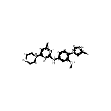 COc1cc(Nc2nc(C)cc(N3CCOCC3)n2)ccc1-n1cnc(C)c1